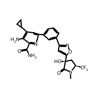 CN1C(=O)[C@](O)(c2cc(-c3cccc(-c4cc(C5CC5)c(N)c(C(N)=O)n4)c3)no2)C[C@H]1C(F)(F)F